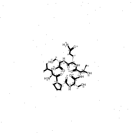 CC(C)C[C@H](N)C(=O)N1CCC[C@H]1C(=O)N[C@@H](CO)C(=O)N[C@H](C(=O)N[C@@H](CCC(N)=O)C(=O)N[C@@H](CO)C(=O)O)[C@@H](C)O